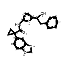 O=C(Nc1ncc(C(O)Cc2ccccc2)s1)C1(c2ccc3c(c2)OCO3)CC1